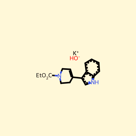 CCOC(=O)N1CC=C(c2c[nH]c3ccccc23)CC1.[K+].[OH-]